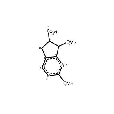 COc1ncc2c(n1)C(OC)C(C(=O)O)C2